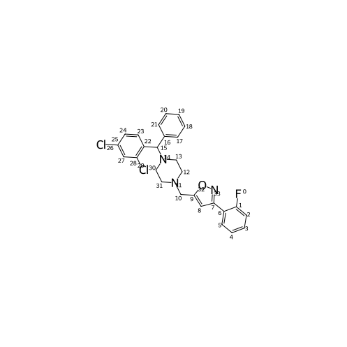 Fc1ccccc1-c1cc(CN2CCN(C(c3ccccc3)c3ccc(Cl)cc3Cl)CC2)on1